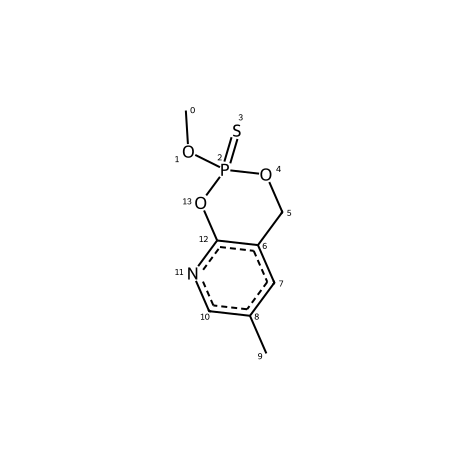 COP1(=S)OCc2cc(C)cnc2O1